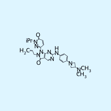 C=CCn1c(=O)c2cnc(Nc3ccc(N4CC(N(C)C)C4)cc3)nc2n1-c1ccc(=O)n(C(C)C)n1